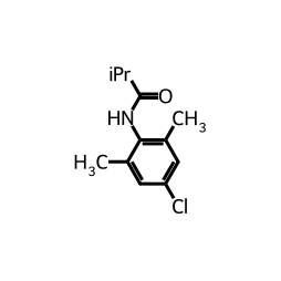 Cc1cc(Cl)cc(C)c1NC(=O)C(C)C